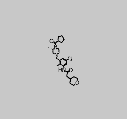 Cc1c(CN2CCN(C(=O)C3CCCC3)[C@@H](C)C2)cc(Cl)cc1NC(=O)CC1CCOCC1